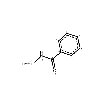 [CH2]CCCCNC(=O)c1ccccc1